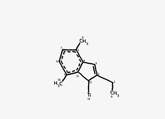 CCC1=Cc2c(C)ccc(C)c2[CH]1[Ti]